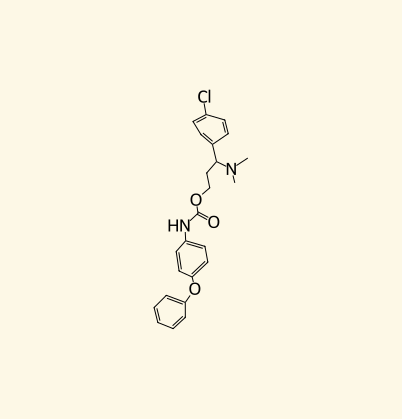 CN(C)C(CCOC(=O)Nc1ccc(Oc2ccccc2)cc1)c1ccc(Cl)cc1